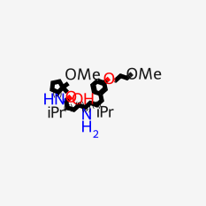 COCCCOc1cc(C[C@@H](C[C@H](N)[C@@H](O)C[C@H](C(=O)N[C@H]2CCCC2(C)C)C(C)C)C(C)C)ccc1OC